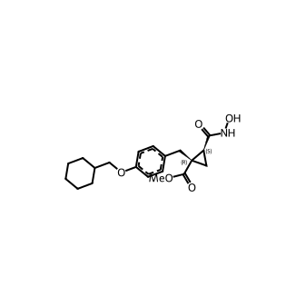 COC(=O)[C@@]1(Cc2ccc(OCC3CCCCC3)cc2)C[C@@H]1C(=O)NO